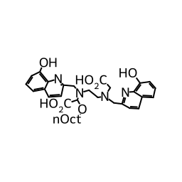 CCCCCCCCOC(C(=O)O)N(CCN(CC(=O)O)Cc1ccc2cccc(O)c2n1)Cc1ccc2cccc(O)c2n1